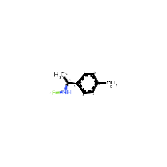 Cc1ccc(C(C)NF)cc1